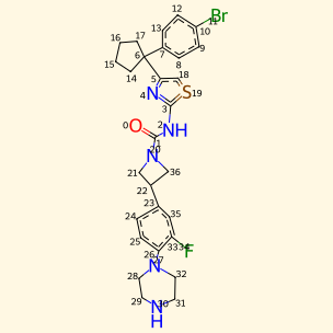 O=C(Nc1nc(C2(c3ccc(Br)cc3)CCCC2)cs1)N1CC(c2ccc(N3CCNCC3)c(F)c2)C1